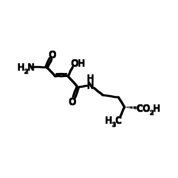 C[C@H](CCNC(=O)/C(O)=C/C(N)=O)C(=O)O